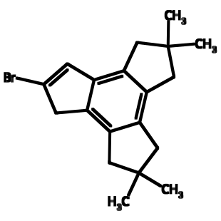 CC1(C)Cc2c3c(c4c(c2C1)CC(C)(C)C4)CC(Br)=C3